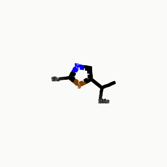 CSC(C)c1cnc(C(C)(C)C)s1